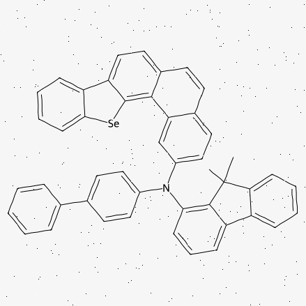 CC1(C)c2ccccc2-c2cccc(N(c3ccc(-c4ccccc4)cc3)c3ccc4ccc5ccc6c7ccccc7[se]c6c5c4c3)c21